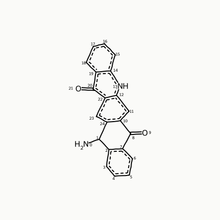 NC1c2ccccc2C(=O)c2cc3[nH]c4ccccc4c(=O)c3cc21